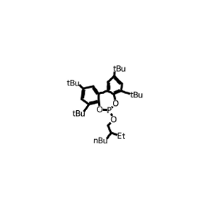 CCCCC(CC)COp1oc2c(C(C)(C)C)cc(C(C)(C)C)cc2c2cc(C(C)(C)C)cc(C(C)(C)C)c2o1